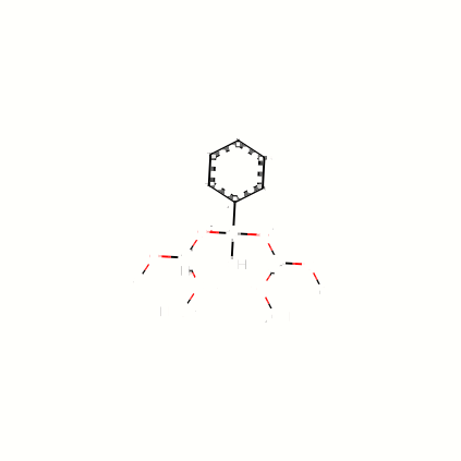 CO[SiH](OC)O[Si](C)(O[SiH](OC)OC)c1ccccc1